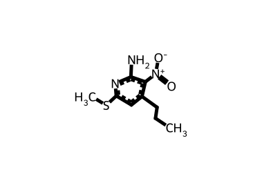 CCCc1cc(SC)nc(N)c1[N+](=O)[O-]